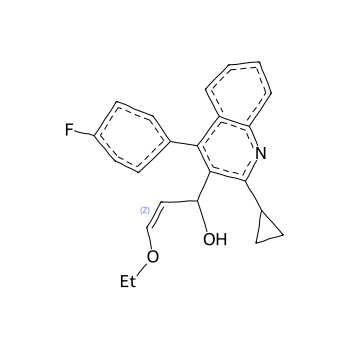 CCO/C=C\C(O)c1c(C2CC2)nc2ccccc2c1-c1ccc(F)cc1